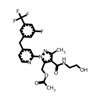 CC(=O)OCc1c(C(=O)NCCO)c(C)nn1-c1cc(Cc2cc(F)cc(C(F)(F)F)c2)ccn1